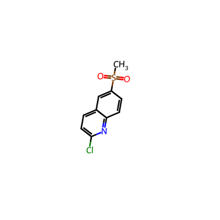 CS(=O)(=O)c1ccc2nc(Cl)ccc2c1